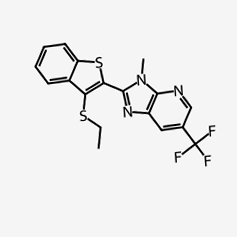 CCSc1c(-c2nc3cc(C(F)(F)F)cnc3n2C)sc2ccccc12